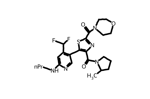 CCCNc1cc(C(F)F)c(-c2sc(C(=O)N3CCOCC3)nc2C(=O)N2CCCC2C)cn1